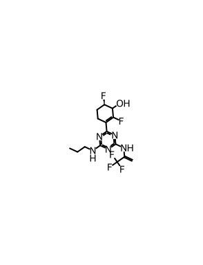 C=C(Nc1nc(NCCC)nc(C2=C(F)C(O)[C@H](F)CC2)n1)C(F)(F)F